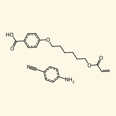 C=CC(=O)OCCCCCCOc1ccc(C(=O)O)cc1.N#Cc1ccc(N)cc1